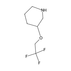 FC(F)(F)COC1CCCNC1